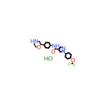 Cl.O=C(Nc1ccc(C2CNCCO2)cc1)c1cnn(-c2ccc(OC(F)F)cc2)c1